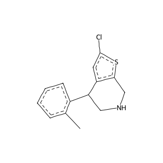 Cc1ccccc1C1CNCc2sc(Cl)cc21